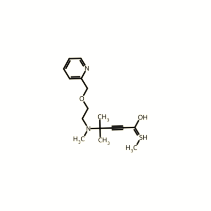 C[SH]=C(O)C#CC(C)(C)N(C)CCOCc1ccccn1